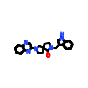 O=C1N(Cc2c[nH]c3ccccc23)CCC12CCN(c1cnc3ccccc3n1)C2